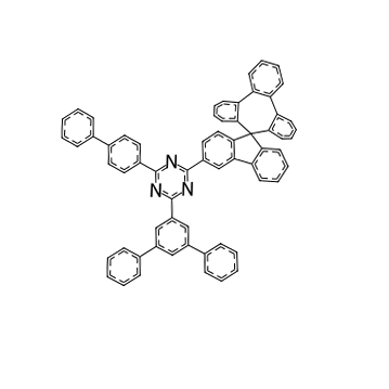 c1ccc(-c2ccc(-c3nc(-c4cc(-c5ccccc5)cc(-c5ccccc5)c4)nc(-c4ccc5c(c4)-c4ccccc4C54c5ccccc5-c5ccccc5-c5ccccc54)n3)cc2)cc1